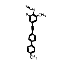 Cc1ccc(-c2ccc(C#Cc3cc(C)c(N=C=S)c(F)c3)cc2)cc1